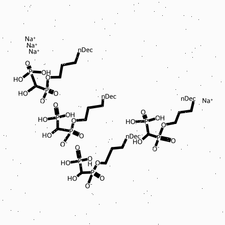 CCCCCCCCCCCCCOP(=O)([O-])C(O)P(=O)(O)O.CCCCCCCCCCCCCOP(=O)([O-])C(O)P(=O)(O)O.CCCCCCCCCCCCCOP(=O)([O-])C(O)P(=O)(O)O.CCCCCCCCCCCCCOP(=O)([O-])C(O)P(=O)(O)O.[Na+].[Na+].[Na+].[Na+]